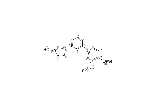 CCCOc1cc(-c2cccc([C@@H]3COB(O)C3)n2)ccc1OC